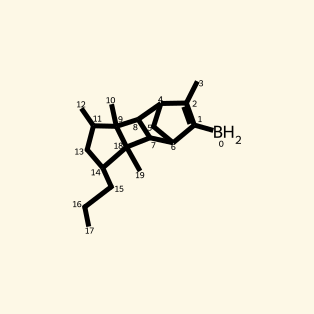 BC1=C(C)C2CC1C1C2C2(C)C(C)CC(CCC)C12C